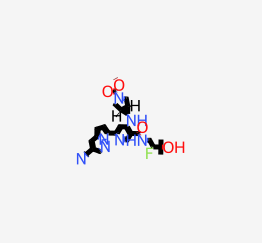 COC(=O)N1C[C@@H]2C(Nc3cc(-c4ccc5cc(C#N)cnn45)ncc3C(=O)NCC(F)C(C)(C)O)[C@@H]2C1